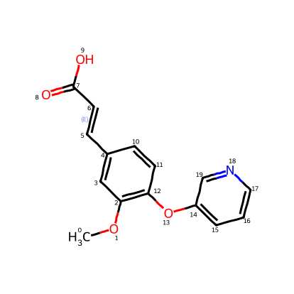 COc1cc(/C=C/C(=O)O)ccc1Oc1cccnc1